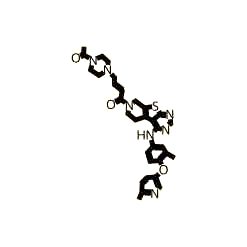 CC(=O)N1CCN(C/C=C/C(=O)N2CCc3c(sc4ncnc(Nc5ccc(Oc6ccc(C)nc6)c(C)c5)c34)C2)CC1